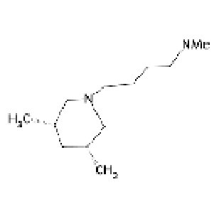 CNCCCCN1C[C@H](C)C[C@H](C)C1